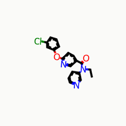 CCN(C(=O)c1ccc(Oc2cccc(Cl)c2)nc1)c1cccnc1